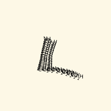 CC(=O)O.CC(=O)O.CC(=O)O.CC(=O)O.CC(=O)O.CC(=O)O.CC(=O)O.CC(=O)O.CC(=O)O.CC(=O)O.CC(=O)O.CC(=O)O.CC(=O)O.CC(=O)O.CC(=O)O.CC(=O)O.CC(=O)O.CC(=O)O.CC(=O)O.CC(=O)O.CC(=O)O.CC(=O)O.CC(=O)O.CC(=O)O.CC(=O)O.N